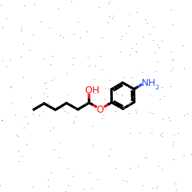 CCCCCC(O)Oc1ccc(N)cc1